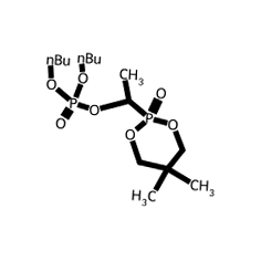 CCCCOP(=O)(OCCCC)OC(C)P1(=O)OCC(C)(C)CO1